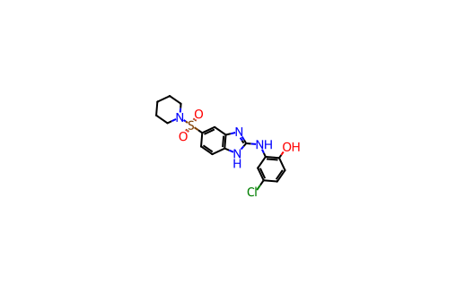 O=S(=O)(c1ccc2[nH]c(Nc3cc(Cl)ccc3O)nc2c1)N1CCCCC1